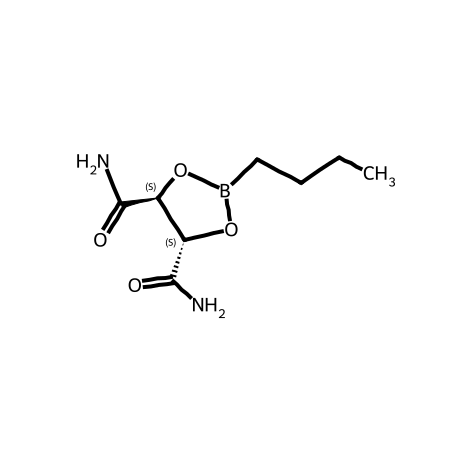 CCCCB1O[C@H](C(N)=O)[C@@H](C(N)=O)O1